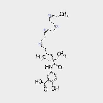 CC/C=C\C/C=C\C/C=C\C/C=C\CCSC(CC)(CC)C(=O)Nc1ccc(O)c(C(=O)O)c1